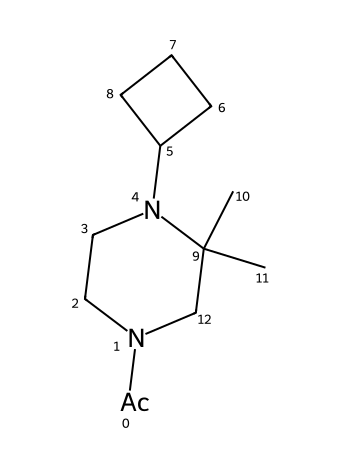 CC(=O)N1CCN(C2CCC2)C(C)(C)C1